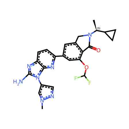 C[C@@H](C1CC1)N1Cc2cc(-c3ccc4nc(N)n(-c5cnn(C)c5)c4n3)cc(OC(F)F)c2C1=O